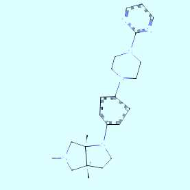 CN1C[C@H]2CCN(c3ccc(N4CCN(c5ncccn5)CC4)cc3)[C@H]2C1